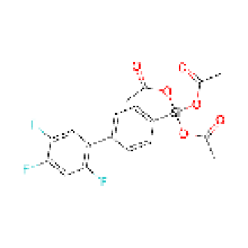 CC(=O)O[Si](OC(C)=O)(OC(C)=O)c1ccc(-c2cc(F)c(F)cc2F)cc1